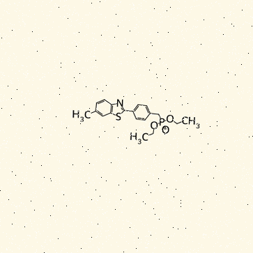 CCOP(=O)(Cc1ccc(-c2nc3ccc(C)cc3s2)cc1)OCC